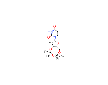 CC1C2O[Si](C(C)C)(C(C)C)O[Si](C(C)C)(C(C)C)OCC2OC1n1ccc(=O)[nH]c1=O